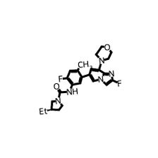 CC[C@@H]1CCN(C(=O)Nc2cc(-c3cc(N4CCOCC4)c4nc(F)cn4c3)c(C)cc2F)C1